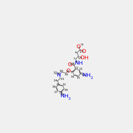 COC(=O)CC(O)CNC(=O)c1cc(N)ccc1OCCN(C)CCc1ccc(N)cc1